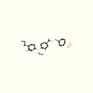 CCC(=N)c1ccc(N2CCOc3cc(C(=O)NCc4ccc([SH](C)(C)=O)cc4)ccc32)cc1N